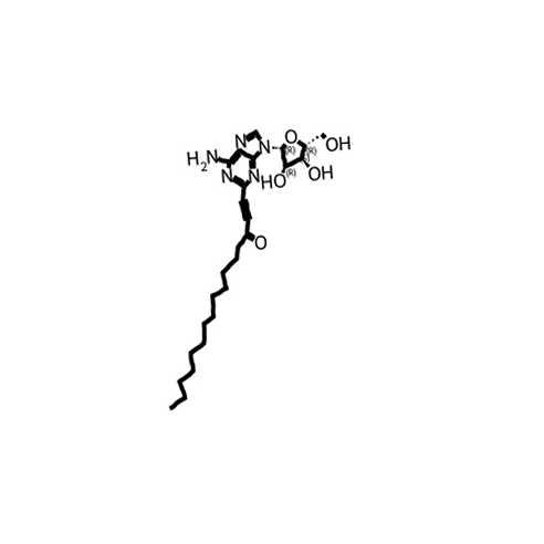 CCCCCCCCCCCCCC(=O)C#Cc1nc(N)c2ncn([C@@H]3O[C@H](CO)[C@@H](O)[C@H]3O)c2n1